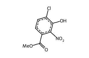 COC(=O)c1ccc(Cl)c(O)c1[N+](=O)[O-]